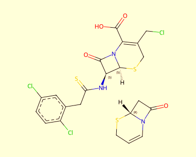 O=C(O)C1=C(CCl)CS[C@H]2[C@@H](NC(=S)Cc3cc(Cl)ccc3Cl)C(=O)N12.O=C1C[C@H]2SCC=CN12